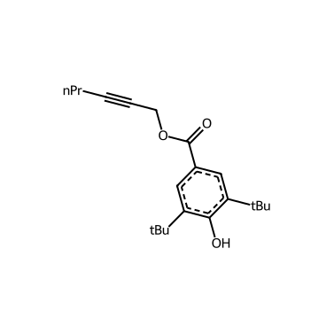 CCCC#CCOC(=O)c1cc(C(C)(C)C)c(O)c(C(C)(C)C)c1